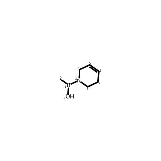 CB(O)N1CC=CCC1